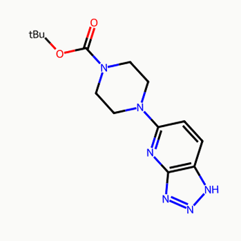 CC(C)(C)OC(=O)N1CCN(c2ccc3[nH]nnc3n2)CC1